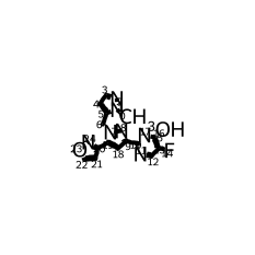 Cn1nccc1Cn1nc(-c2ncc(F)c(O)n2)cc1-c1ccon1